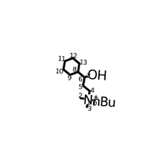 CCCC[N+](C)(C)CCC(O)C1CCCCC1